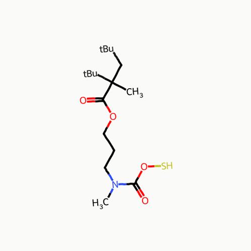 CN(CCCOC(=O)C(C)(CC(C)(C)C)C(C)(C)C)C(=O)OS